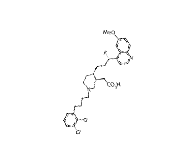 COc1ccc2nccc([C@@H](F)CC[C@@H]3CCN(CCCCc4cccc(Cl)c4Cl)C[C@@H]3CC(=O)O)c2c1